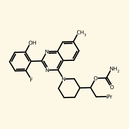 Cc1ccc2c(N3CCCC(C(CC(C)C)OC(N)=O)C3)nc(-c3c(O)cccc3F)nc2c1